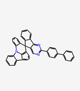 c1ccc(-c2ccc(-c3ncc4c(n3)-c3ccccc3C43c4ccccc4-n4c5ccccc5c5cccc3c54)cc2)cc1